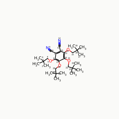 CC(C)(C)COc1c(C#N)c(C#N)c(OCC(C)(C)C)c(OCC(C)(C)C)c1OCC(C)(C)C